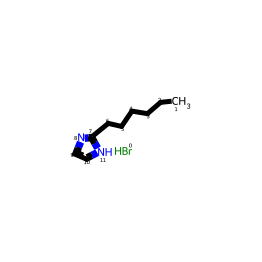 Br.CCCCCCc1ncc[nH]1